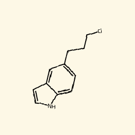 ClCCCc1ccc2[nH]ccc2c1